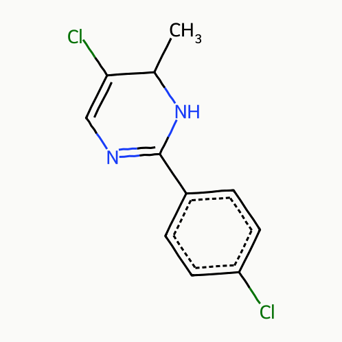 CC1NC(c2ccc(Cl)cc2)=NC=C1Cl